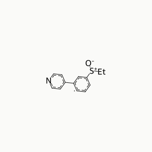 CC[S+]([O-])c1cc[c]c(-c2ccncc2)c1